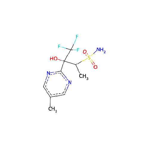 Cc1cnc(C(O)(C(C)S(N)(=O)=O)C(F)(F)F)nc1